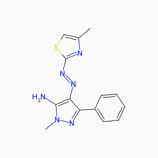 Cc1csc(/N=N/c2c(-c3ccccc3)nn(C)c2N)n1